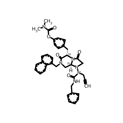 C#CCN(C(=O)NCc1ccccc1)N1CC(=O)N2[C@@H](Cc3ccc(OC(=O)N(C)C)cc3)C(=O)N(Cc3cccc4ccccc34)C[C@@H]21